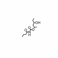 CCCC(=O)NC(=O)OC(C)CC(O)CC